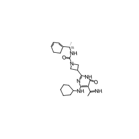 CC(=N)c1c(NC2CCCCC2)nc(C2CN(C(=O)N[C@@H](C)C3=CC=CCC3)C2)[nH]c1=O